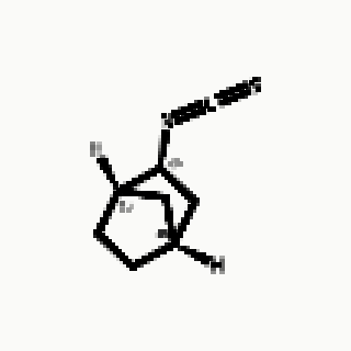 S=C=N[C@H]1C[C@@H]2CC[C@H]1C2